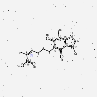 C/C(=C/CCCn1c(=O)c2c(ncn2C)n(C)c1=O)[N+](=O)[O-]